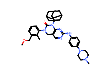 COCc1cccc(N2Cc3cnc(Nc4ccc(N5CCN(C)CC5)cc4)nc3N(C34CC5CC(CC(C5)C3)C4)C2=O)c1C